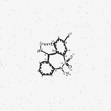 CCCCCNC1c2ccccc2N(C)S(=O)(=O)c2cc(I)ccc21